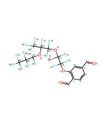 O=[C]c1ccc([C]=O)c(OC(F)(F)C(F)(Br)OC(F)(F)C(F)(OC(F)(F)C(F)(F)C(F)(F)F)C(F)(F)F)c1